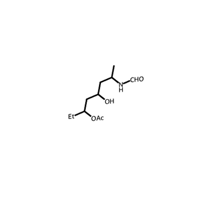 CCC(CC(O)CC(C)NC=O)OC(C)=O